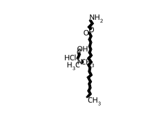 CCCCCCCCCCCCCCCCCCCCCC(=O)OCCCN.CN(C)CCCO.Cl